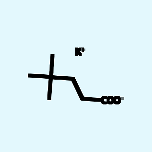 CC(C)(C)CCC(=O)[O-].[K+]